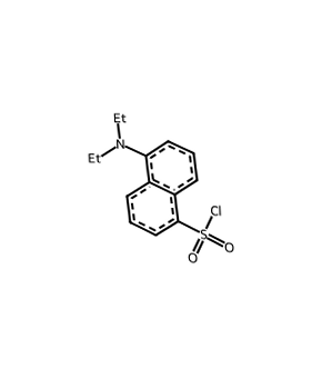 CCN(CC)c1cccc2c(S(=O)(=O)Cl)cccc12